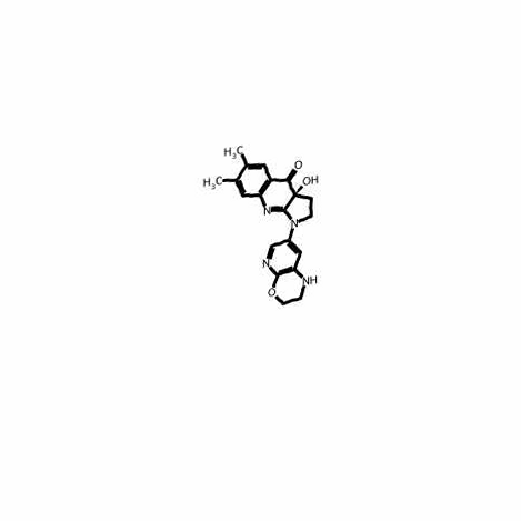 Cc1cc2c(cc1C)C(=O)[C@]1(O)CCN(c3cnc4c(c3)NCCO4)C1=N2